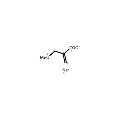 C=C(COC)C(=O)[O-].[Na+]